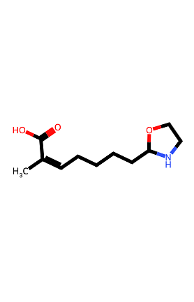 CC(=CCCCCC1NCCO1)C(=O)O